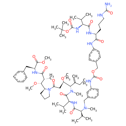 C=C(CC)[C@@H]([C@@H](CC(=O)N1CCC[C@H]1[C@H](OC)[C@@H](C)C(=O)N[C@@H](Cc1ccccc1)C(=O)OC)OC)N(C)C(=O)[C@@H](NC(=O)[C@H](C(C)C)N(C)Cc1cccc(NC(=O)OCc2ccc(NC(=O)[C@H](CCCNC(N)=O)NC(=O)[C@@H](NC(=O)OC(C)(C)C)C(C)C)cc2)c1)C(C)C